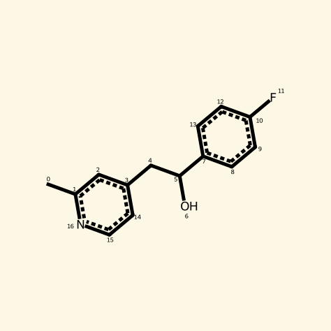 Cc1cc(CC(O)c2ccc(F)cc2)ccn1